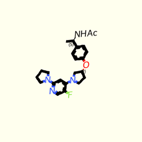 CC(=O)N[C@@H](C)c1ccc(O[C@@H]2CCN(c3cc(N4CCCC4)ncc3F)C2)cc1